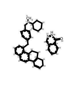 CN(Cc1ccc(Cc2cccc3ccc4c(c23)CCC2=C4C=CCC2)cc1)C1CCCCC1.O=c1[nH]ncc2ccccc12